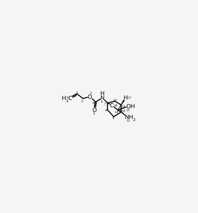 C=CCOC(=O)NC12CCC(N)(CC1)[C@@H](O)C2